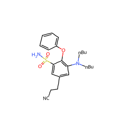 CCCCN(CCCC)c1cc(CCC#N)cc(S(N)(=O)=O)c1Oc1ccccc1